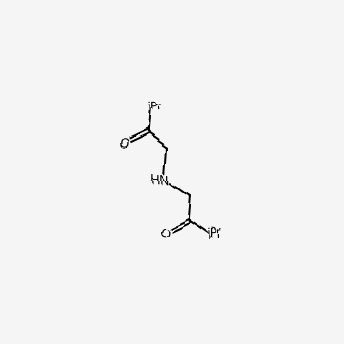 CC(C)C(=O)CNCC(=O)C(C)C